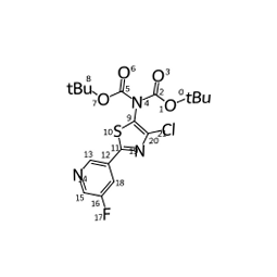 CC(C)(C)OC(=O)N(C(=O)OC(C)(C)C)c1sc(-c2cncc(F)c2)nc1Cl